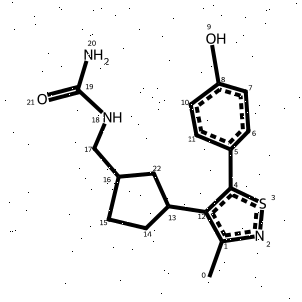 Cc1nsc(-c2ccc(O)cc2)c1C1CCC(CNC(N)=O)C1